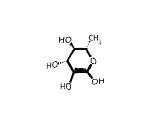 C[C@@H]1OC(O)=C(O)[C@H](O)[C@H]1O